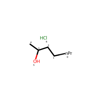 CCCCCC(C)O.Cl